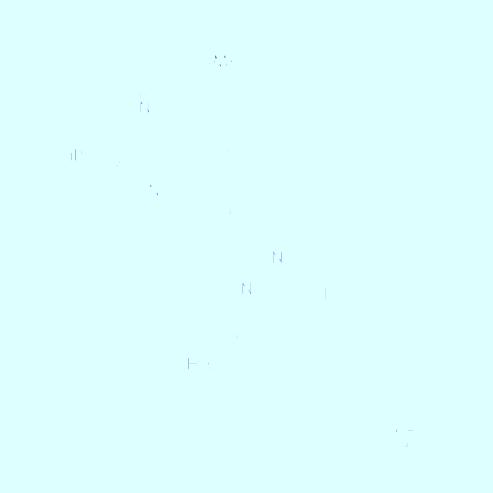 COc1cc(-c2cnn(C(C)c3ccc(C(F)(F)F)cc3F)c2)nc(C(C)C)n1